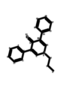 CCCn1cc(-c2ccccc2)c(=O)c(-c2ccccc2)c1